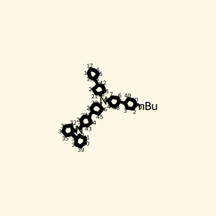 CCCCc1ccc(-c2ccc(N(c3ccc(-c4ccccc4)cc3)c3ccc(-c4ccc(-n5c6ccccc6c6ccccc65)cc4)cc3)cc2)cc1